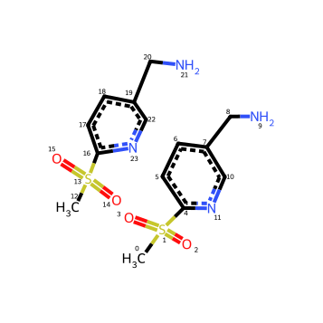 CS(=O)(=O)c1ccc(CN)cn1.CS(=O)(=O)c1ccc(CN)cn1